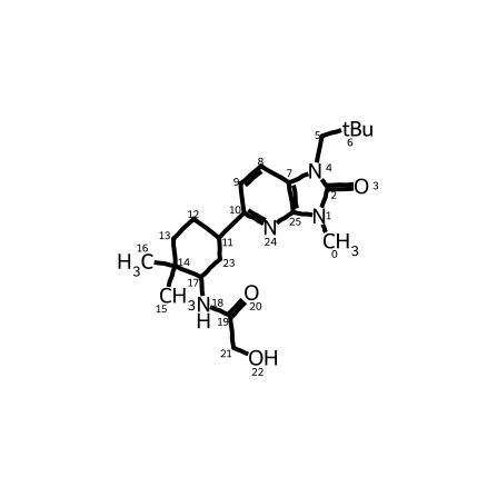 Cn1c(=O)n(CC(C)(C)C)c2ccc(C3CCC(C)(C)C(NC(=O)CO)C3)nc21